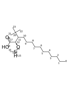 CCCCCCCCCCCC([C@@H](O[SiH](C)C)C(=O)O)C(C)(C)C